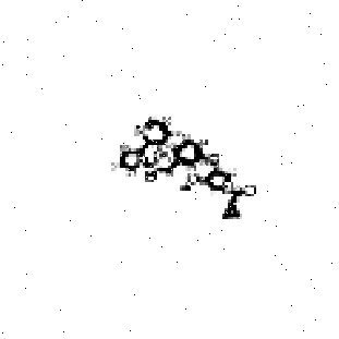 CO[C@@H]1CN(C(=O)C2CC2)C[C@H]1Oc1cccc(CS(=O)(=O)N2CCCC2c2ccccn2)c1